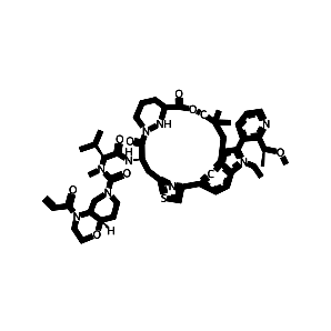 C=CC(=O)N1CCO[C@@H]2CCN(C(=O)N(C)[C@H](C(=O)N[C@H]3Cc4nc(cs4)-c4ccc5c(c4)c(c(-c4cccnc4[C@H](C)OC)n5CC)CC(C)(C)COC(=O)C4CCCN(N4)C3=O)C(C)C)CC21